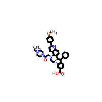 CCN1CCN(C(=O)CN2CCn3c(c(C4CCCCC4)c4ccc(C(=O)O)cc43)-c3ccc4nc(-c5ccc(OC)cc5)ccc4c32)CC1